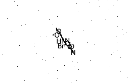 CCOC(CCCNc1ncc2oc(C#N)cc2c1Br)OCC